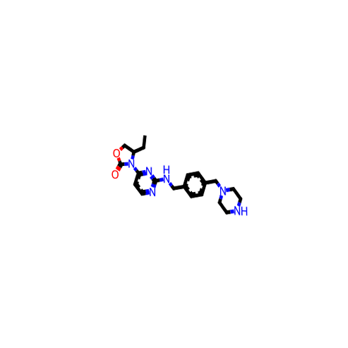 CCC1COC(=O)N1c1ccnc(NCc2ccc(CN3CCNCC3)cc2)n1